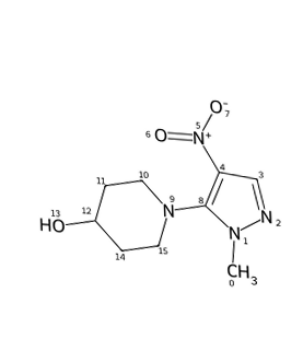 Cn1ncc([N+](=O)[O-])c1N1CCC(O)CC1